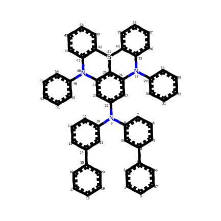 c1ccc(-c2cccc(N(c3cccc(-c4ccccc4)c3)c3cc4c5c(c3)N(c3ccccc3)c3ccccc3B5c3ccccc3N4c3ccccc3)c2)cc1